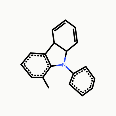 Cc1cccc2c1N(c1ccccc1)C1C=CC=CC21